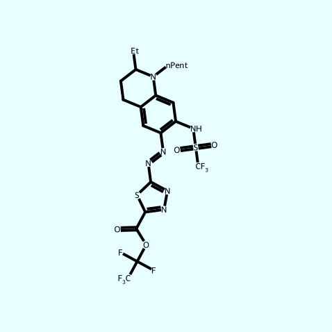 CCCCCN1c2cc(NS(=O)(=O)C(F)(F)F)c(N=Nc3nnc(C(=O)OC(F)(F)C(F)(F)F)s3)cc2CCC1CC